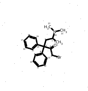 CC(CC(C(=O)CBr)(c1ccccc1)c1ccccc1)N(C)C